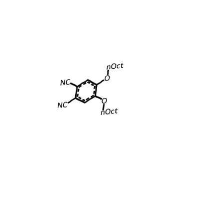 CCCCCCCCOc1cc(C#N)c(C#N)cc1OCCCCCCCC